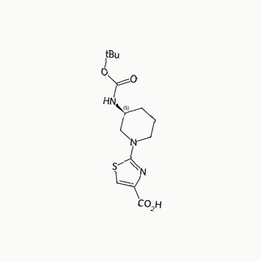 CC(C)(C)OC(=O)N[C@H]1CCCN(c2nc(C(=O)O)cs2)C1